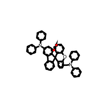 c1ccc(N(c2ccccc2)c2ccc3c(c2)-c2ccccc2C32c3cccc(N(c4ccccc4)c4ccccc4)c3Oc3ccc4ccccc4c32)cc1